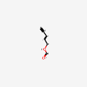 C#C/C=C/CO[C]=O